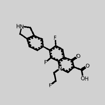 O=C(O)c1cn(CCF)c2c(F)c(-c3ccc4c(c3)CNC4)c(F)cc2c1=O